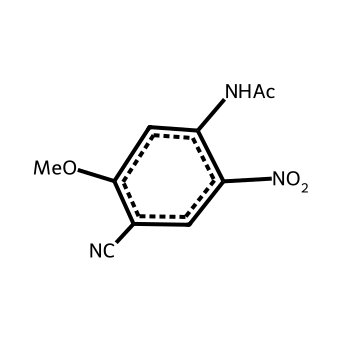 COc1cc(NC(C)=O)c([N+](=O)[O-])cc1C#N